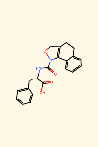 O=C(O)[C@H](Cc1ccccc1)NC(=O)N1OCC2=C1c1ccccc1CC2